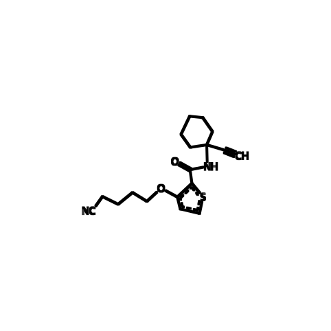 C#CC1(NC(=O)c2sccc2OCCCCC#N)CCCCC1